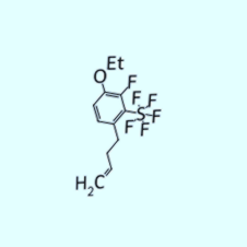 C=CCCc1ccc(OCC)c(F)c1S(F)(F)(F)(F)F